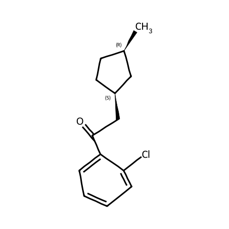 C[C@@H]1CC[C@H](CC(=O)c2ccccc2Cl)C1